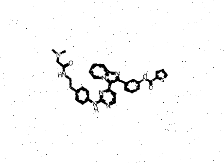 CN(C)CC(=O)NCCc1ccc(Nc2nccc(-c3c(-c4cccc(NC(=O)c5cccs5)c4)nc4ccccn34)n2)cc1